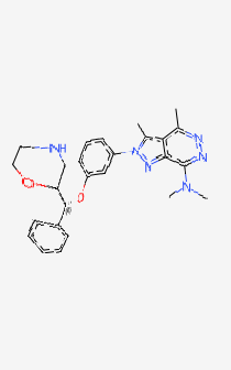 Cc1nnc(N(C)C)c2nn(-c3cccc(O[C@H](c4ccccc4)C4CNCCO4)c3)c(C)c12